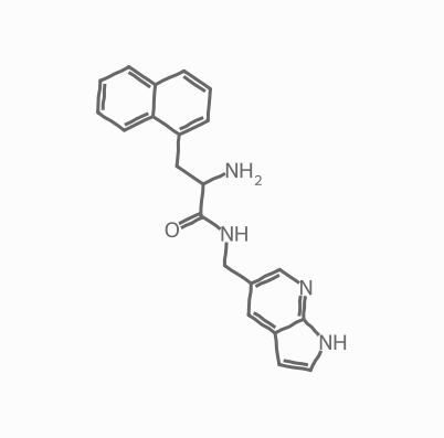 NC(Cc1cccc2ccccc12)C(=O)NCc1cnc2[nH]ccc2c1